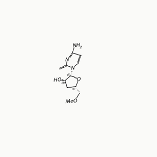 C=C1N=C(N)C=CN1[C@@H]1O[C@H](COC)C[C@H]1O